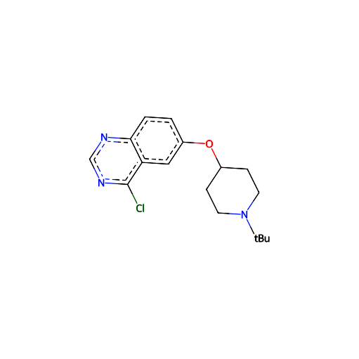 CC(C)(C)N1CCC(Oc2ccc3ncnc(Cl)c3c2)CC1